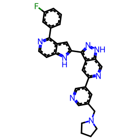 Fc1cccc(-c2nccc3[nH]c(-c4n[nH]c5cnc(-c6cncc(CN7CCCC7)c6)cc45)cc23)c1